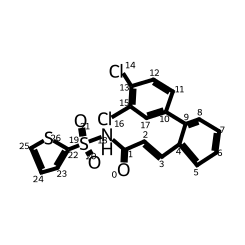 O=C(C=Cc1ccccc1-c1ccc(Cl)c(Cl)c1)NS(=O)(=O)c1cccs1